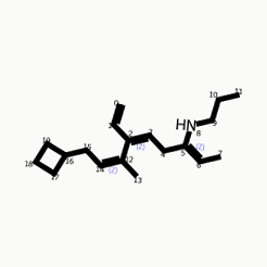 C=CC(=C/C/C(=C/C)NCCC)/C(C)=C\CC1CCC1